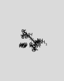 CC(=O)c1cc(NC(=O)CCCCCCCCC(=NNC(=N)N)Nc2cc(C(C)=O)cc(C(C)=O)c2)cc(C(C)=O)c1.Cl.Cl.Cl.Cl